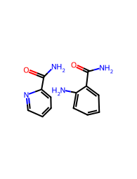 NC(=O)c1ccccc1N.NC(=O)c1ccccn1